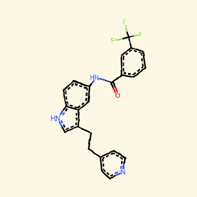 O=C(Nc1ccc2[nH]cc(CCc3ccncc3)c2c1)c1cccc(C(F)(F)F)c1